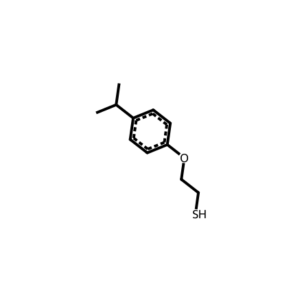 CC(C)c1ccc(OCCS)cc1